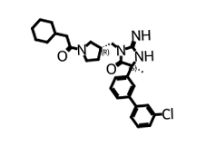 C[C@@]1(c2cccc(-c3cccc(Cl)c3)c2)NC(=N)N(C[C@@H]2CCN(C(=O)CC3CCCCC3)C2)C1=O